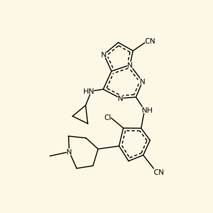 CN1CCC(c2cc(C#N)cc(Nc3nc(NC4CC4)c4ncc(C#N)n4n3)c2Cl)CC1